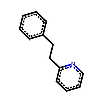 [c]1ccccc1CCc1ccccn1